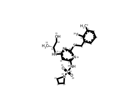 Cc1cccc(CSc2nc(N[C@H](C)CO)cc(NS(=O)(=O)N3CCC3)n2)c1F